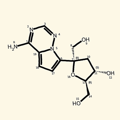 Nc1ncnn2c([C@@]3(CO)C[C@H](O)[C@@H](CO)O3)ccc12